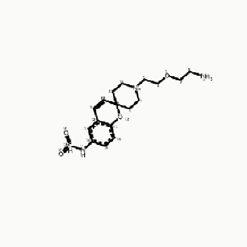 NCCOCCN1CCC2(C=Cc3cc(N[SH](=O)=O)ccc3O2)CC1